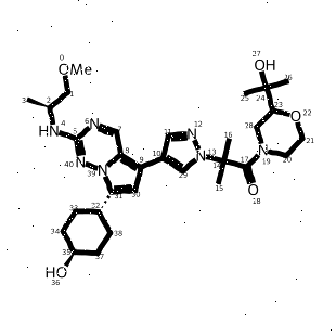 COC[C@H](C)Nc1ncc2c(-c3cnn(C(C)(C)C(=O)N4CCOC(C(C)(C)O)C4)c3)cc([C@H]3CC[C@H](O)CC3)n2n1